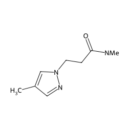 CNC(=O)CCn1cc(C)cn1